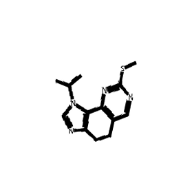 CSc1ncc2c(n1)-c1c(ncn1C(C)C)CC2